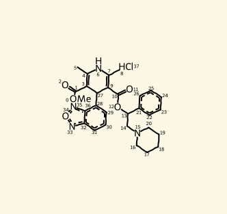 COC(=O)C1=C(C)NC(C)=C(C(=O)OC(CN2CCCCC2)c2ccccc2)C1c1cccc2nonc12.Cl